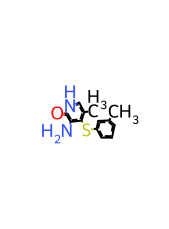 Cc1cccc(Sc2c(C)c[nH]c(=O)c2N)c1